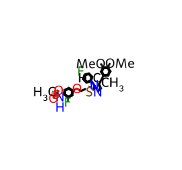 COc1ccc(C(C)(C)c2cnc(SCCOc3ccc(NS(C)(=O)=O)c(F)c3)n2-c2ccc(F)cc2)cc1OC